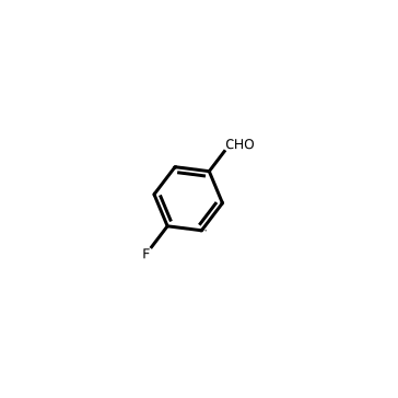 O=Cc1c[c]c(F)cc1